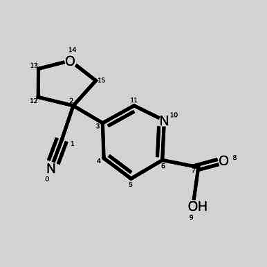 N#CC1(c2ccc(C(=O)O)nc2)CCOC1